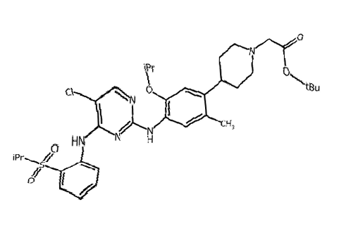 Cc1cc(Nc2ncc(Cl)c(Nc3ccccc3S(=O)(=O)C(C)C)n2)c(OC(C)C)cc1C1CCN(CC(=O)OC(C)(C)C)CC1